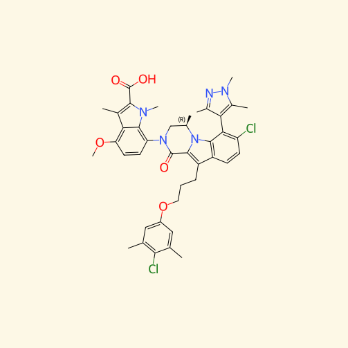 COc1ccc(N2C[C@@H](C)n3c(c(CCCOc4cc(C)c(Cl)c(C)c4)c4ccc(Cl)c(-c5c(C)nn(C)c5C)c43)C2=O)c2c1c(C)c(C(=O)O)n2C